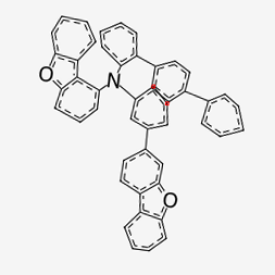 c1ccc(-c2ccc(-c3ccccc3N(c3cccc(-c4ccc5c(c4)oc4ccccc45)c3)c3cccc4oc5ccccc5c34)cc2)cc1